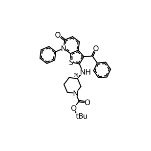 CC(C)(C)OC(=O)N1CCC[C@@H](Nc2sc3c(ccc(=O)n3-c3ccccc3)c2C(=O)c2ccccc2)C1